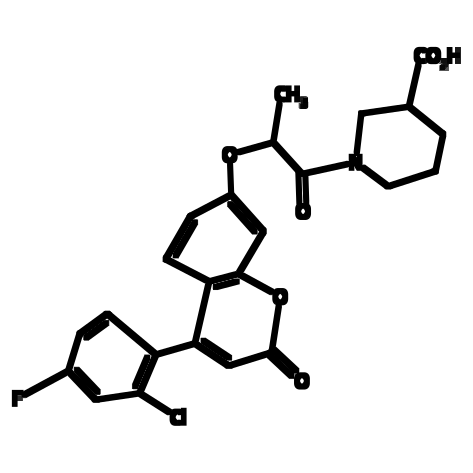 CC(Oc1ccc2c(-c3ccc(F)cc3Cl)cc(=O)oc2c1)C(=O)N1CCCC(C(=O)O)C1